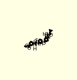 CCOC(=O)c1cccc(NC(=O)Nc2cc(Oc3ccc4nc(NC(=O)C5CC5)sc4c3)ccc2F)c1